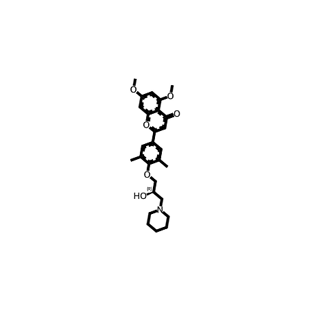 COc1cc(OC)c2c(=O)cc(-c3cc(C)c(OC[C@H](O)CN4CCCCC4)c(C)c3)oc2c1